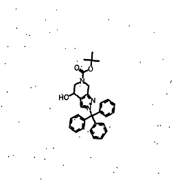 CC(C)(C)OC(=O)N1Cc2nn(C(c3ccccc3)(c3ccccc3)c3ccccc3)cc2C(O)C1